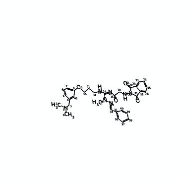 CN(C)Cc1cccc(OCCCNC(=NC(=O)CNN2C(=O)c3ccccc3C2=O)N(C)N=Cc2ccccc2)c1